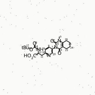 Cn1c2c(c(=O)n(-c3ccc(CC(NC(=O)OC(C)(C)C)C(=O)O)nc3)c1=O)CCCC2